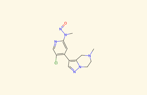 CN1CCn2ncc(-c3cc(N(C)N=O)ncc3Cl)c2C1